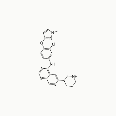 Cn1ccc(Oc2ccc(Nc3ncnc4cnc(C5CCCNC5)cc34)cc2Cl)n1